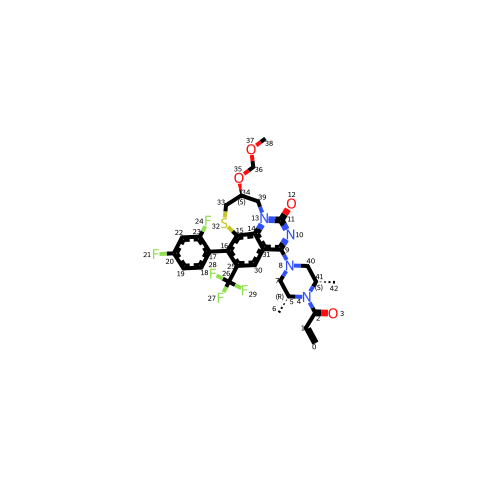 C=CC(=O)N1[C@H](C)CN(c2nc(=O)n3c4c(c(-c5ccc(F)cc5F)c(C(F)(F)F)cc24)SC[C@@H](OCOC)C3)C[C@@H]1C